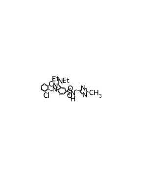 CCN(CC)c1nn(Cc2c(Cl)cccc2Cl)c2ccc(S(=O)(=O)NCc3cnc(C)cn3)cc12